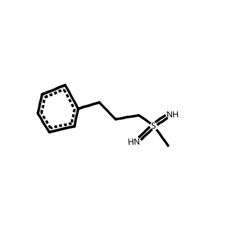 CS(=N)(=N)CCCc1ccccc1